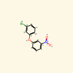 O=[N+]([O-])c1cccc(Oc2cc[c]c(Br)c2)c1